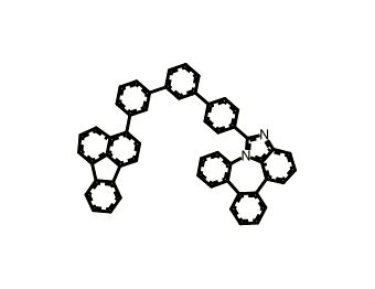 c1cc(-c2ccc(-c3nc4cccc5c4n3-c3ccccc3-c3ccccc3-5)cc2)cc(-c2cccc(-c3ccc4c5c(cccc35)-c3ccccc3-4)c2)c1